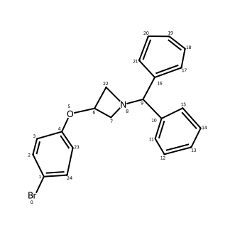 Brc1ccc(OC2CN(C(c3ccccc3)c3ccccc3)C2)cc1